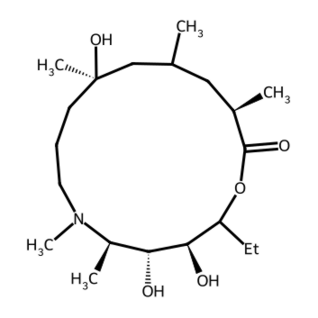 CCC1OC(=O)[C@H](C)CC(C)C[C@](C)(O)CCCN(C)[C@H](C)[C@@H](O)[C@@H]1O